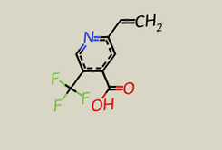 C=Cc1cc(C(=O)O)c(C(F)(F)F)cn1